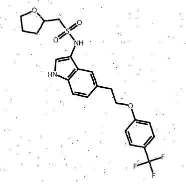 O=S(=O)(CC1CCCO1)Nc1c[nH]c2ccc(CCOc3ccc(C(F)(F)F)cc3)cc12